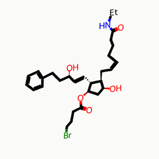 CCNC(=O)CCC/C=C\C[C@@H]1[C@@H](/C=C/[C@@H](O)CCc2ccccc2)[C@H](OC(=O)CCCBr)C[C@@H]1O